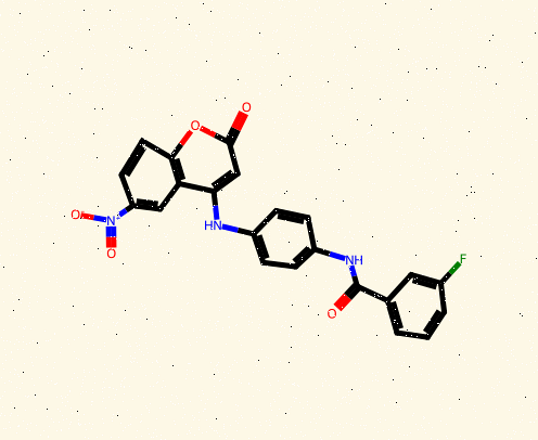 O=C(Nc1ccc(Nc2cc(=O)oc3ccc([N+](=O)[O-])cc23)cc1)c1cccc(F)c1